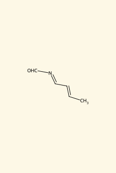 CC=CC=NC=O